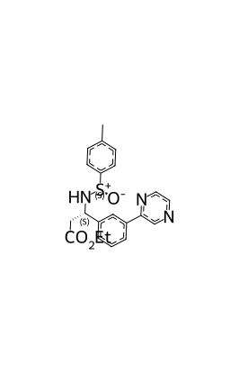 CCOC(=O)C[C@H](N[S@+]([O-])c1ccc(C)cc1)c1cccc(-c2cnccn2)c1